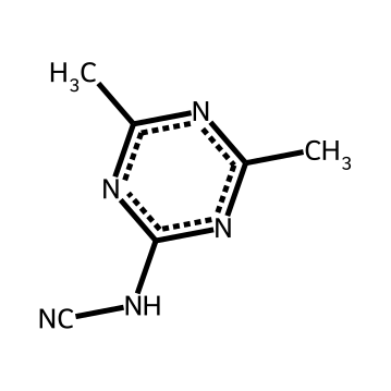 Cc1nc(C)nc(NC#N)n1